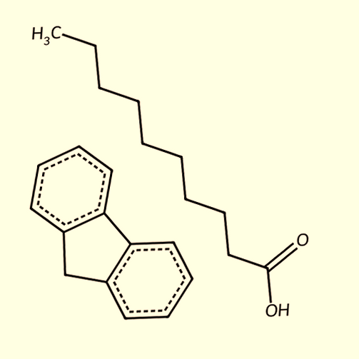 CCCCCCCCCC(=O)O.c1ccc2c(c1)Cc1ccccc1-2